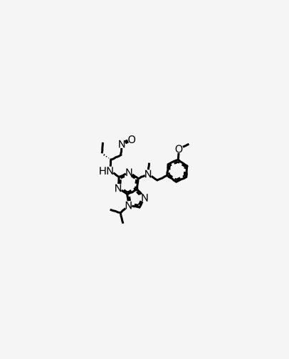 CC[C@H](CN=O)Nc1nc(N(C)Cc2cccc(OC)c2)c2ncn(C(C)C)c2n1